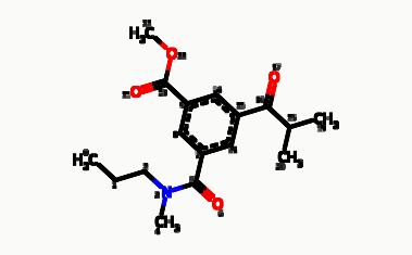 CCCN(C)C(=O)c1cc(C(=O)OC)cc(C(=O)C(C)C)c1